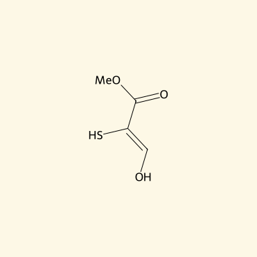 COC(=O)C(S)=CO